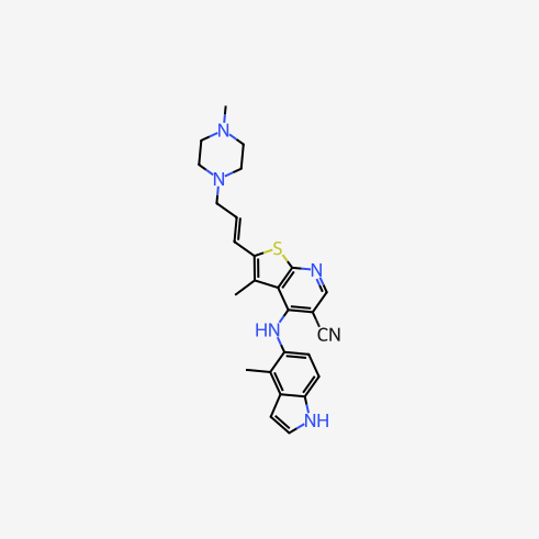 Cc1c(Nc2c(C#N)cnc3sc(C=CCN4CCN(C)CC4)c(C)c23)ccc2[nH]ccc12